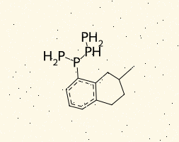 CC1CCc2cccc(P(P)PP)c2C1